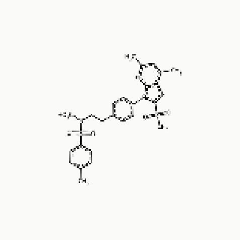 Cc1ccc(S(=O)(=O)N(CCc2ccc(-n3c(S(C)(=O)=O)nc4c(C)cc(C)nc43)cc2)C(=O)O)cc1